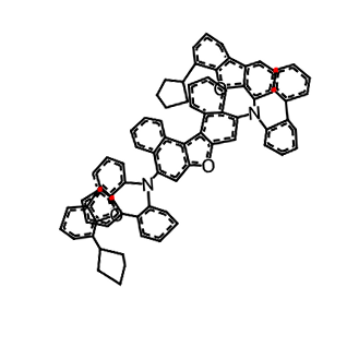 c1ccc(-c2ccccc2N(c2cc3oc4cc(N(c5ccccc5-c5ccccc5)c5cccc6c5oc5c(C7CCCC7)cccc56)c5ccccc5c4c3c3ccccc23)c2cccc3c2oc2c(C4CCCC4)cccc23)cc1